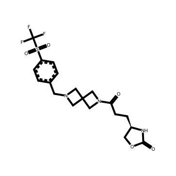 O=C1N[C@H](CCC(=O)N2CC3(CN(Cc4ccc(S(=O)(=O)C(F)(F)F)cc4)C3)C2)CO1